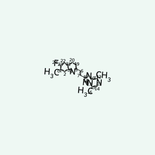 Cc1cc2nc(C=Cc3nc4c(C)ncc(C)n4n3)ccc2cc1F